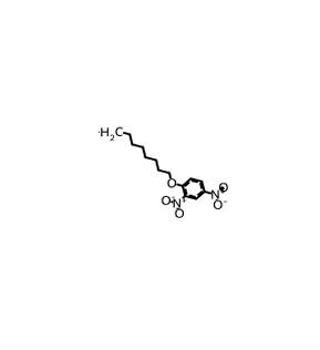 [CH2]CCCCCCCOc1ccc([N+](=O)[O-])cc1[N+](=O)[O-]